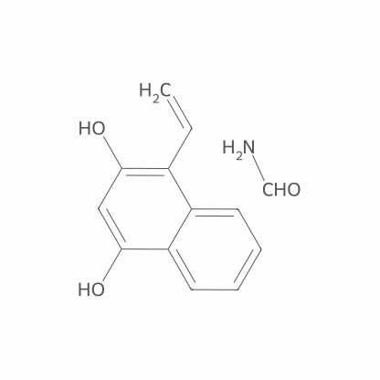 C=Cc1c(O)cc(O)c2ccccc12.NC=O